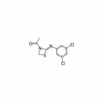 CC(=O)N1CS/C1=N\c1cc(Cl)cc(Cl)c1